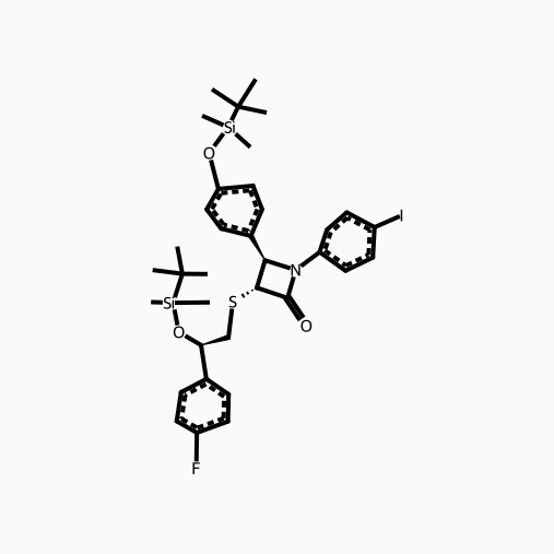 CC(C)(C)[Si](C)(C)Oc1ccc([C@@H]2[C@@H](SC[C@H](O[Si](C)(C)C(C)(C)C)c3ccc(F)cc3)C(=O)N2c2ccc(I)cc2)cc1